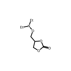 CCN(CC)OCC1COC(=O)O1